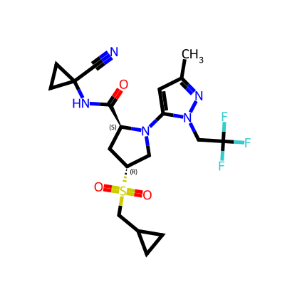 Cc1cc(N2C[C@H](S(=O)(=O)CC3CC3)C[C@H]2C(=O)NC2(C#N)CC2)n(CC(F)(F)F)n1